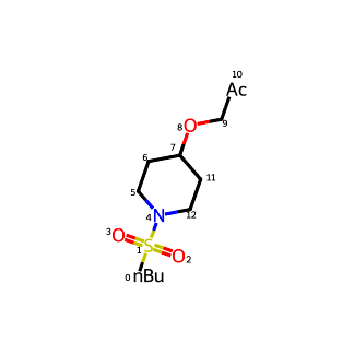 CCCCS(=O)(=O)N1CCC(OCC(C)=O)CC1